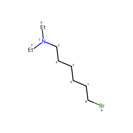 CCN(CC)CCCCCCBr